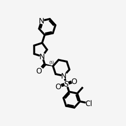 Cc1c(Cl)cccc1S(=O)(=O)N1CCC[C@H](C(=O)N2CCC(c3cccnc3)C2)C1